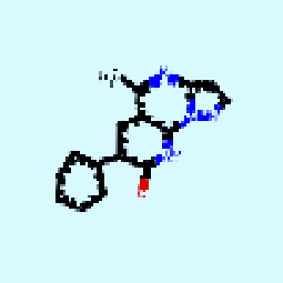 Cc1nc2ccnn2c2[nH]c(=O)c(-c3ccccc3)cc12